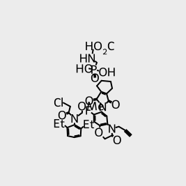 C#CCN1C(=O)COc2cc(F)c(N3C(=O)C4=C(CCCC4)C3=O)cc21.CCc1cccc(CC)c1N(COC)C(=O)CCl.O=C(O)CNCP(=O)(O)O